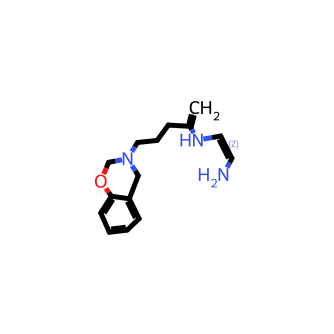 C=C(CCCN1COc2ccccc2C1)N/C=C\N